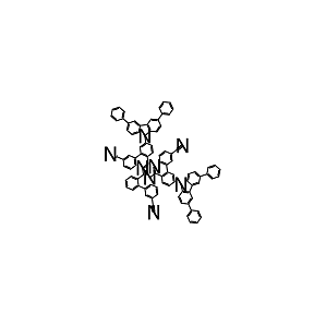 N#Cc1cccc(-c2ccccc2-c2nc(-c3ccc(-n4c5ccc(-c6ccccc6)cc5c5cc(-c6ccccc6)ccc54)cc3-c3cccc(C#N)c3)nc(-c3ccc(-n4c5ccc(-c6ccccc6)cc5c5cc(-c6ccccc6)ccc54)cc3-c3cccc(C#N)c3)n2)c1